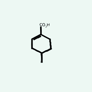 CC1CC=C(C(=O)O)CC1